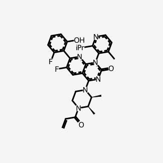 C=CC(=O)N1CCN(c2nc(=O)n(-c3c(C)ccnc3C(C)C)c3nc(-c4c(O)cccc4F)c(F)cc23)[C@@H](C)[C@H]1C